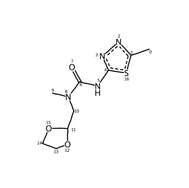 Cc1nnc(NC(=O)N(C)CC2OCCO2)s1